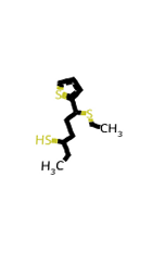 CCSC(CCC(S)CC)c1cccs1